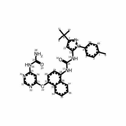 Cc1ccc(-n2nc(C(C)(C)C)cc2NC(=O)Nc2ccc(Oc3cc(NC(N)=O)ncn3)c3ccccc23)cc1